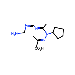 C/C(=N\N(/C(C)=N/C=N\CN)C1CCCC1)C(=O)O